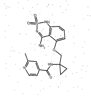 Cc1cc(C(=O)NC2(COc3cccc4c3C(N)=NS(=O)(=O)N4)CC2)ccn1